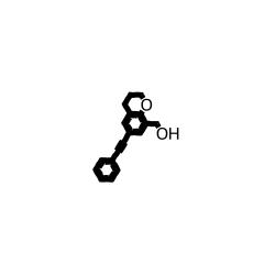 OCc1cc(C#Cc2ccccc2)cc2c1OCCC2